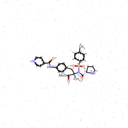 COC(=O)[C@](C)(Cc1ccc(NC(=O)c2ccncc2)cc1)N(C(=O)[C@@H]1CCCN1)S(=O)(=O)c1ccc(C)cc1